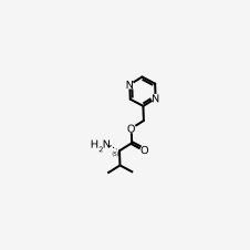 CC(C)[C@H](N)C(=O)OCc1cnccn1